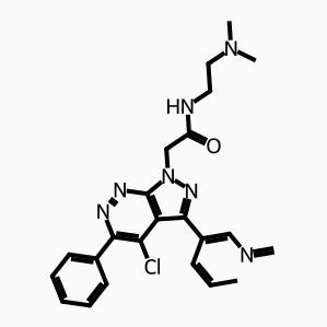 C=N/C=C(\C=C/C)c1nn(CC(=O)NCCN(C)C)c2nnc(-c3ccccc3)c(Cl)c12